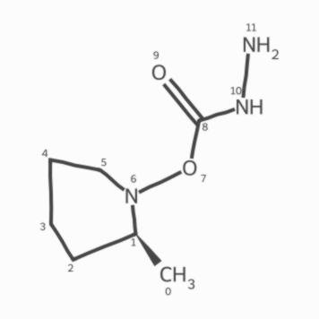 C[C@H]1CCCCN1OC(=O)NN